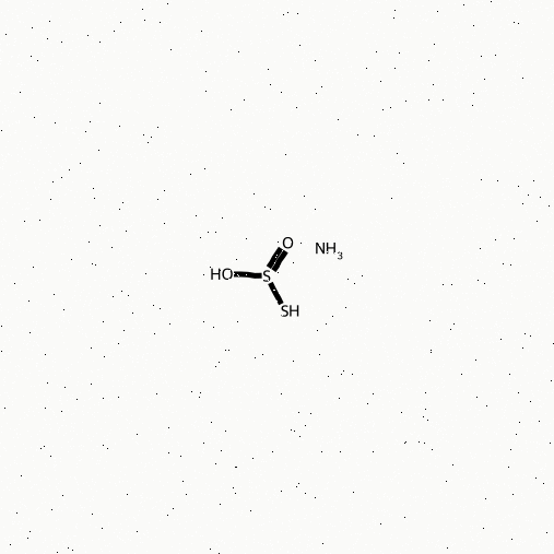 N.O=S(O)S